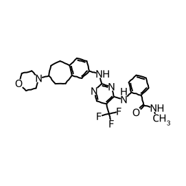 CNC(=O)c1ccccc1Nc1nc(Nc2ccc3c(c2)CCC(N2CCOCC2)CC3)ncc1C(F)(F)F